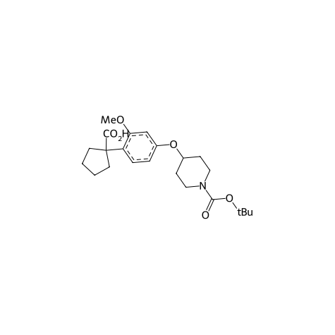 COc1cc(OC2CCN(C(=O)OC(C)(C)C)CC2)ccc1C1(C(=O)O)CCCC1